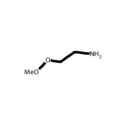 COOCCN